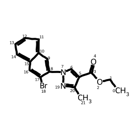 CCOC(=O)c1cn(-c2cc3ccccc3cc2Br)nc1C